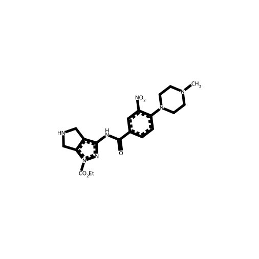 CCOC(=O)n1nc(NC(=O)c2ccc(N3CCN(C)CC3)c([N+](=O)[O-])c2)c2c1CNC2